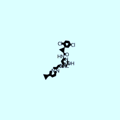 O=C(Nc1cc(NCc2cn3cc(C4CC4)ccc3n2)ncn1)[C@H]1C[C@@H]1c1cc(Cl)ccc1Cl.O=CO